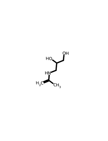 C=C(C)NCC(O)CO